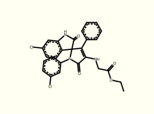 CCOC(=O)CNC1=C(c2ccccc2)C2(C(=O)Nc3cc(Cl)ccc32)N(c2cccc(Cl)c2)C1=O